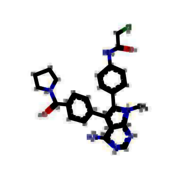 Cn1c(-c2ccc(NC(=O)CCl)cc2)c(-c2ccc(C(=O)N3CCCC3)cc2)c2c(N)ncnc21